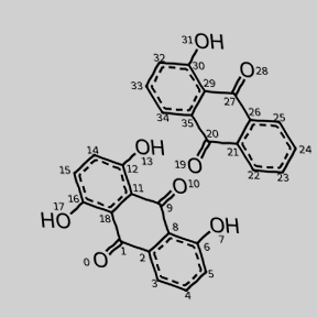 O=C1c2cccc(O)c2C(=O)c2c(O)ccc(O)c21.O=C1c2ccccc2C(=O)c2c(O)cccc21